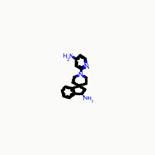 Nc1ccnc(N2CCC3(CC2)C[C@H](N)c2ccccc23)c1